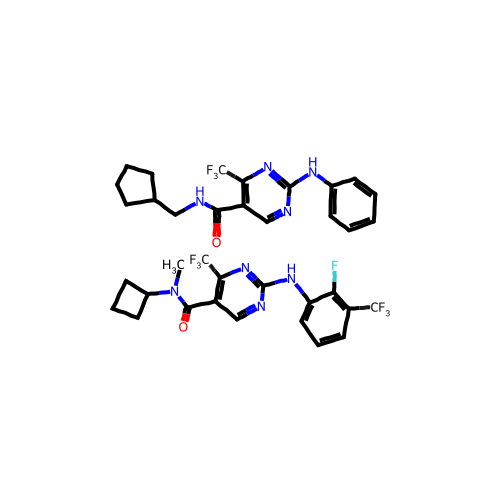 CN(C(=O)c1cnc(Nc2cccc(C(F)(F)F)c2F)nc1C(F)(F)F)C1CCC1.O=C(NCC1CCCC1)c1cnc(Nc2ccccc2)nc1C(F)(F)F